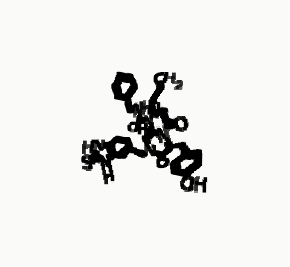 C=CCN1CC(=O)N2[C@@H](Cc3ccc(O)cc3)C(=O)N(Cc3ccc4[nH]c(=S)[nH]c4c3)C[C@@H]2N1C(=O)NCc1ccccc1